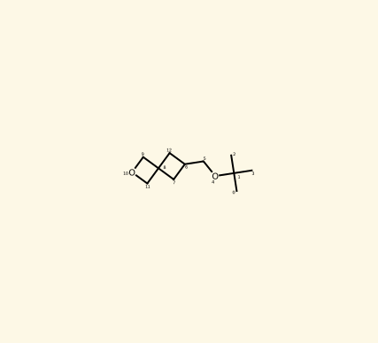 CC(C)(C)OCC1CC2(COC2)C1